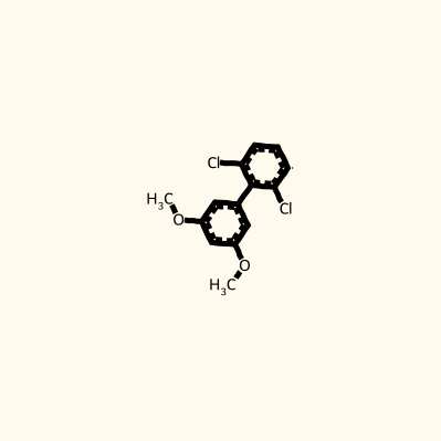 COc1cc(OC)cc(-c2c(Cl)[c]ccc2Cl)c1